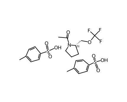 CC(=O)N1CCC[C@H]1COC(F)(F)F.Cc1ccc(S(=O)(=O)O)cc1.Cc1ccc(S(=O)(=O)O)cc1